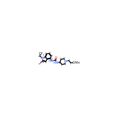 COCCN1CCC(NC(=O)Nc2cccc3c2cc(I)n3CC(F)(F)F)CC1